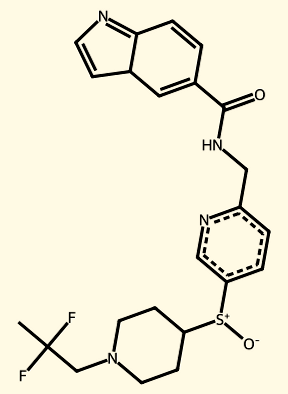 CC(F)(F)CN1CCC([S+]([O-])c2ccc(CNC(=O)C3=CC4C=CN=C4C=C3)nc2)CC1